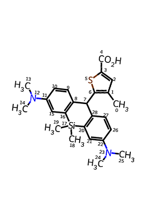 Cc1cc(C(=O)O)sc1C1c2ccc(N(C)C)cc2[Si](C)(C)c2cc(N(C)C)ccc21